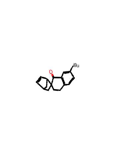 CCC(C)c1ccc2c(c1)C(=O)C1(CC2)CC2C=CC1C2